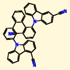 N#Cc1ccc2c(c1)c1ccccc1n2-c1cccc(C#N)c1-c1ccccc1-c1cccc(-n2c3ccccc3c3c(C#N)cccc32)c1